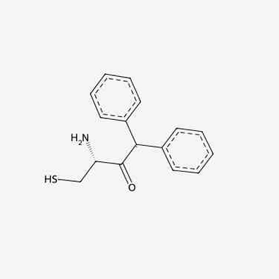 N[C@@H](CS)C(=O)[C](c1ccccc1)c1ccccc1